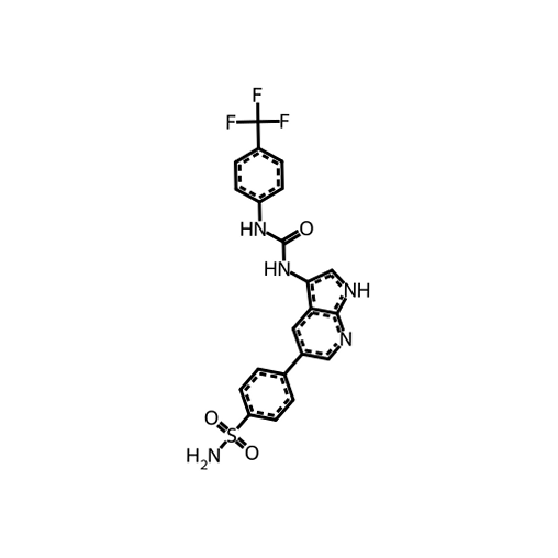 NS(=O)(=O)c1ccc(-c2cnc3[nH]cc(NC(=O)Nc4ccc(C(F)(F)F)cc4)c3c2)cc1